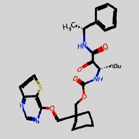 CCCC[C@H](NC(=O)OCC1(COc2ncnc3ccsc23)CCC1)C(=O)C(=O)N[C@H](C)c1ccccc1